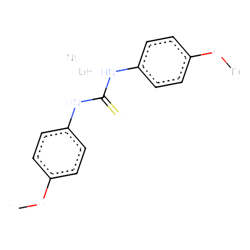 CCOc1ccc(NC(=S)Nc2ccc(OCC)cc2)cc1.[LiH].[Nb]